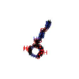 CO[C@H]1C[C@@H]2CC[C@@H](C)[C@@](O)(O2)C(=O)C(=O)N2CCCC[C@H]2C(=O)OC([C@H](C)CC2CC[C@@H](OC(=O)NCc3cnc(N4CCN(C(=O)CCOCCN5CCN(c6ncc(C)cn6)CC5)CC4)nc3)[C@H](OC)C2)CC(=O)[C@H](C)/C=C(\C)[C@@H](O)[C@@H](O)C(=O)[C@H](C)C[C@H](C)/C=C/C=C/C=C/1C